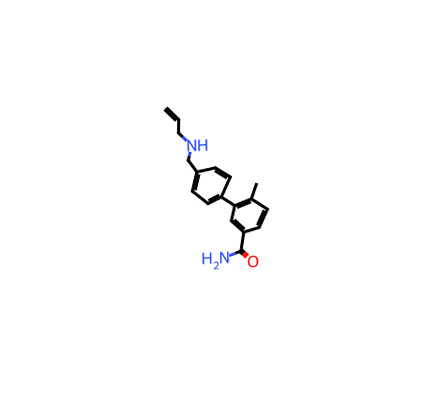 C=CCNCc1ccc(-c2cc(C(N)=O)ccc2C)cc1